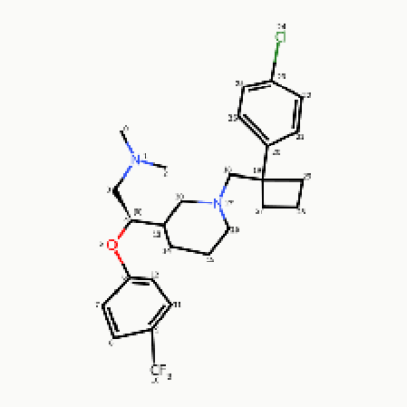 CN(C)C[C@H](Oc1ccc(C(F)(F)F)cc1)C1CCCN(CC2(c3ccc(Cl)cc3)CCC2)C1